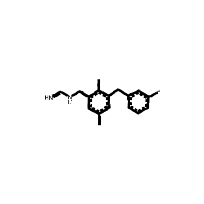 Cc1cc(CNC=N)c(C)c(Cc2cccc(F)c2)c1